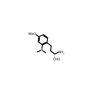 COc1ccc(CC[C@H](N)C=O)c(N(C)C)c1